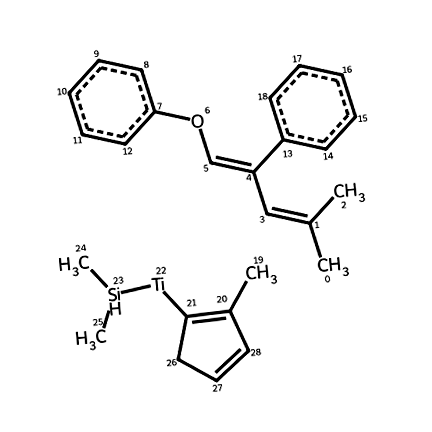 CC(C)=CC(=COc1ccccc1)c1ccccc1.CC1=[C]([Ti][SiH](C)C)CC=C1